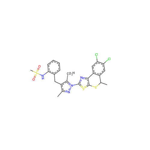 Cc1nn(-c2nc3c(s2)SC(C)c2cc(Cl)c(Cl)cc2-3)c(C(=O)O)c1Cc1ccccc1NS(C)(=O)=O